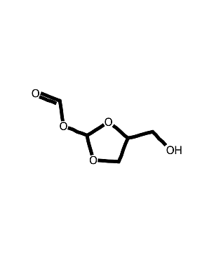 O=COC1OCC(CO)O1